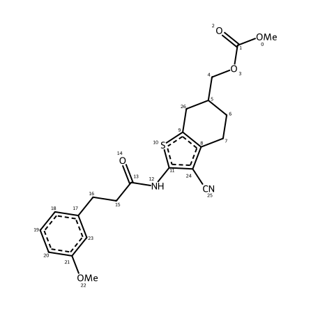 COC(=O)OCC1CCc2c(sc(NC(=O)CCc3cccc(OC)c3)c2C#N)C1